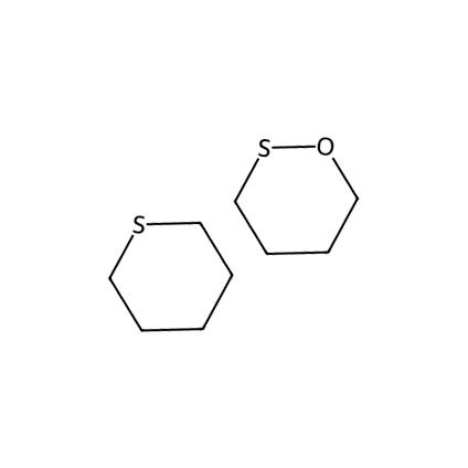 C1CCSCC1.C1CCSOC1